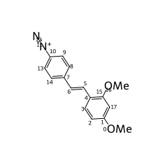 COc1ccc(/C=C/c2ccc([N+]#N)cc2)c(OC)c1